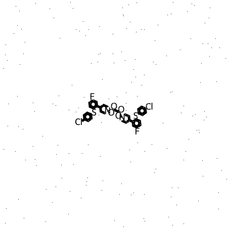 O=C(ON1CCC(c2cc(F)ccc2Sc2ccc(Cl)cc2)CC1)C(=O)ON1CCC(c2cc(F)ccc2Sc2ccc(Cl)cc2)CC1